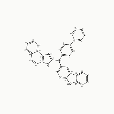 c1ccc(-c2ccc(N(c3ccc4sc5ccccc5c4c3)c3nc4c(ccc5ccccc54)o3)cc2)cc1